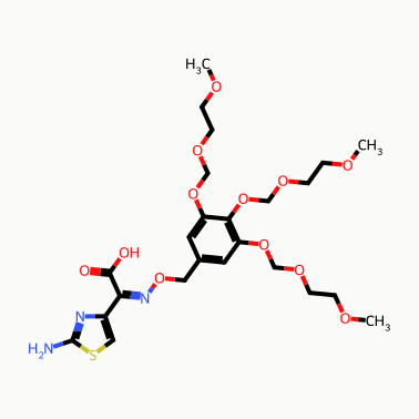 COCCOCOc1cc(CO/N=C(\C(=O)O)c2csc(N)n2)cc(OCOCCOC)c1OCOCCOC